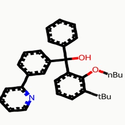 CCCCOc1c(C(C)(C)C)cccc1C(O)(c1ccccc1)c1cccc(-c2ccccn2)c1